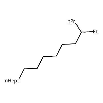 CCCCCCCCCCCCCC(CC)CCC